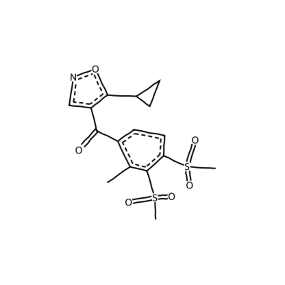 Cc1c(C(=O)c2cnoc2C2CC2)ccc(S(C)(=O)=O)c1S(C)(=O)=O